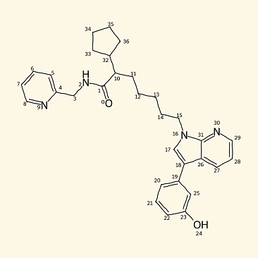 O=C(NCc1ccccn1)C(CCCCCn1cc(-c2cccc(O)c2)c2cccnc21)C1CCCC1